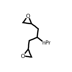 [CH2]CCC(CC1CO1)CC1CO1